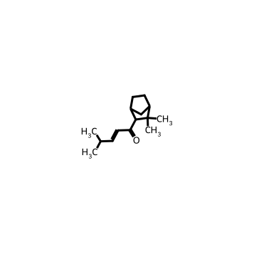 CC(C)C=CC(=O)C1C2CCC(C2)C1(C)C